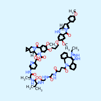 CCN1NNC2=C1c1ccccc1CN(C(=O)CCC(=O)NCC(=O)NCC(=O)N[C@H](C(=O)N[C@@H](C)C(=O)Nc1ccc(COC(=O)N3c4cc(OCCCOc5cc6c(cc5OC)C(=O)N5C=C(c7ccc(OC)cc7)C[C@H]5CN6)c(OC)cc4C(=O)N4CC5(CC5)C[C@H]4C3O)nc1)C(C)C)c1ccccc12